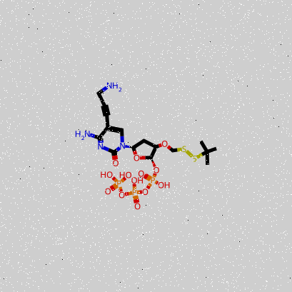 CC(C)(C)SSCOC1C[C@H](n2cc(C#CCN)c(N)nc2=O)O[C@@H]1OP(=O)(O)OP(=O)(O)OP(=O)(O)O